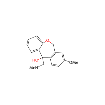 CNCC1(O)c2ccc(OC)cc2COc2ccccc21